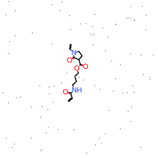 C=CC(=O)NCCCCOC(=O)C1CCN(C=C)C1=O